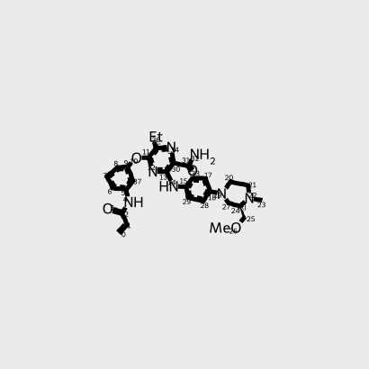 C=CC(=O)Nc1cccc(Oc2nc(Nc3ccc(N4CCN(C)[C@@H](COC)C4)cc3)c(C(N)=O)nc2CC)c1